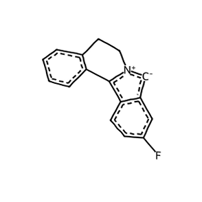 Fc1ccc2c3[n+]([cH-]c2c1)CCc1ccccc1-3